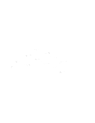 CCN(CC)c1ccc2c3c(ccc2c1)N=c1cc2c(cc1O3)=NCCC2